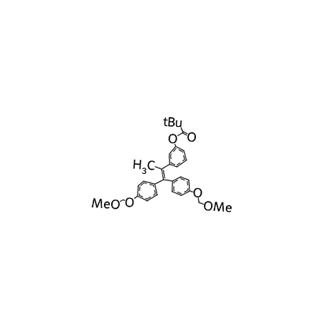 COCOc1ccc(C(=C(C)c2cccc(OC(=O)C(C)(C)C)c2)c2ccc(OCOC)cc2)cc1